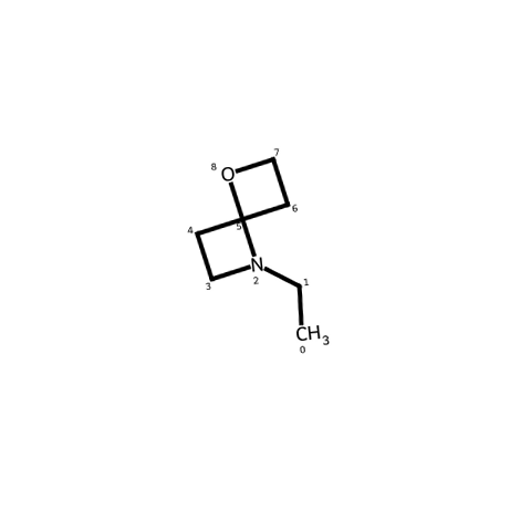 CCN1CCC12CCO2